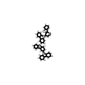 c1ccc2c(c1)oc1c(-n3c4ccccc4c4cc(-n5c6ccccc6c6cc(-n7c8ccccc8c8ccccc87)ccc65)ccc43)ccnc12